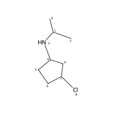 CC(C)NC1CCC(Cl)C1